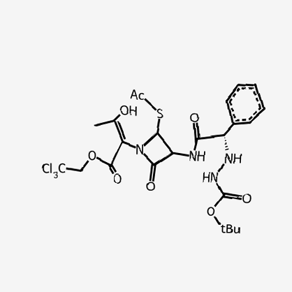 CC(=O)SC1C(NC(=O)[C@@H](NNC(=O)OC(C)(C)C)c2ccccc2)C(=O)N1C(C(=O)OCC(Cl)(Cl)Cl)=C(C)O